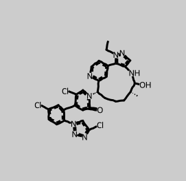 CCn1ncc2c1-c1ccnc(c1)[C@@H](n1cc(Cl)c(-c3cc(Cl)ccc3-n3cc(Cl)nn3)cc1=O)CCC[C@@H](C)C(O)N2